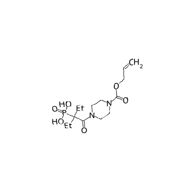 C=CCOC(=O)N1CCN(C(=O)C(CC)(CC)P(=O)(O)O)CC1